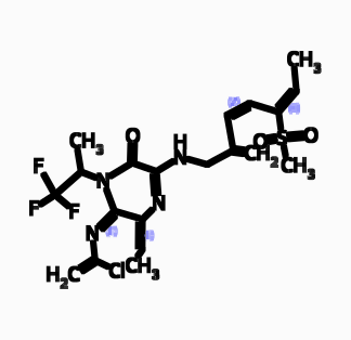 C=C(/C=C\C(=C/C)S(C)(=O)=O)CNC1=NC(=C/C)/C(=N\C(=C)Cl)N(C(C)C(F)(F)F)C1=O